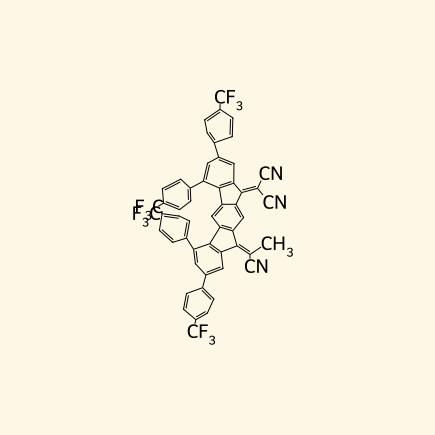 C/C(C#N)=C1\c2cc3c(cc2-c2c1cc(-c1ccc(C(F)(F)F)cc1)cc2-c1ccc(C(F)(F)F)cc1)-c1c(cc(-c2ccc(C(F)(F)F)cc2)cc1-c1ccc(C(F)(F)F)cc1)C3=C(C#N)C#N